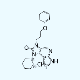 C[C@@H]1CCCC[C@@H]1n1c(=O)n(CCCOC2=CC=CCC2)c2cnc3[nH]ccc3c21